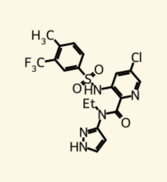 CCN(C(=O)c1ncc(Cl)cc1NS(=O)(=O)c1ccc(C)c(C(F)(F)F)c1)c1cc[nH]n1